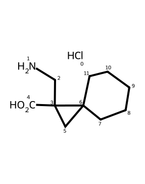 Cl.NCC1(C(=O)O)CC12CCCCC2